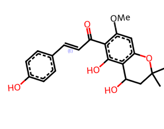 COc1cc2c(c(O)c1C(=O)/C=C/c1ccc(O)cc1)C(O)CC(C)(C)O2